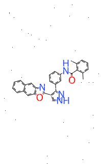 Cc1cccc(C)c1C(=O)Nc1cccc(-c2n[nH]cc2-c2nc3cc4ccccc4cc3o2)c1